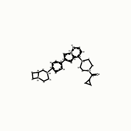 O=C(C1CC1)N1CCN(c2ccnn3cc(-c4ccc(N5CCN6CCC6C5)cc4)cc23)CC1